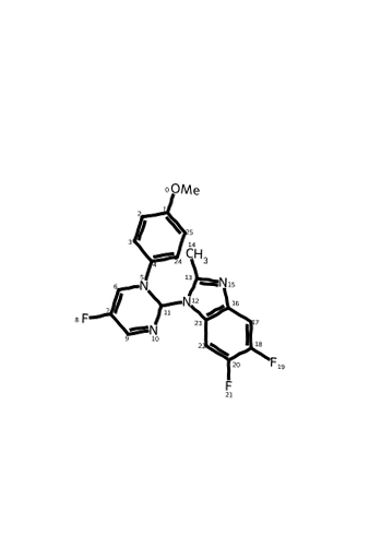 COc1ccc(N2C=C(F)C=NC2n2c(C)nc3cc(F)c(F)cc32)cc1